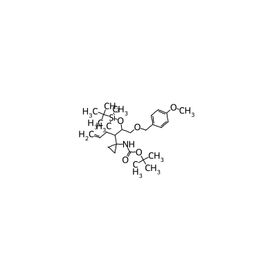 C=CCC(C(COCc1ccc(OC)cc1)O[Si](C)(C)C(C)(C)C)C1(NC(=O)OC(C)(C)C)CC1